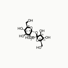 O=C(O)[C@@]1(O[C@H]2O[C@H](CO)[C@@H](O)[C@H](O)[C@H]2O)O[C@H](CO)[C@@H](O)[C@@H]1O